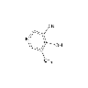 Cc1cncc(C#N)c1O